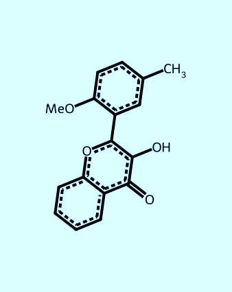 COc1ccc(C)cc1-c1oc2ccccc2c(=O)c1O